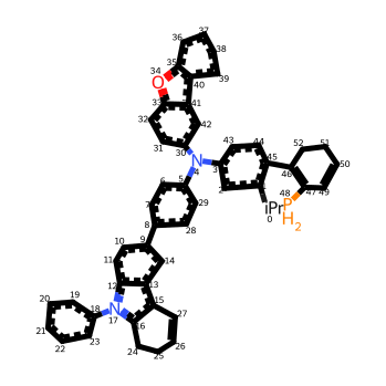 CC(C)c1cc(N(c2ccc(-c3ccc4c(c3)c3c(n4-c4ccccc4)CCC=C3)cc2)c2ccc3oc4ccccc4c3c2)ccc1C1=C(P)C=CCC1